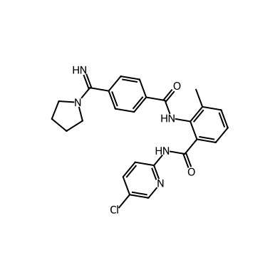 Cc1cccc(C(=O)Nc2ccc(Cl)cn2)c1NC(=O)c1ccc(C(=N)N2CCCC2)cc1